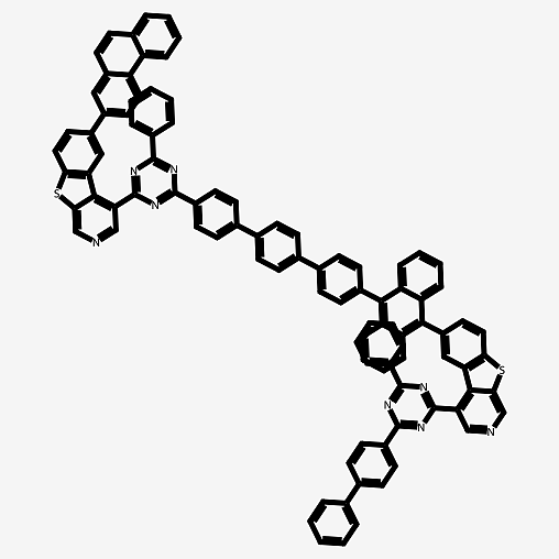 c1ccc(-c2ccc(-c3nc(-c4ccccc4)nc(-c4cncc5sc6ccc(-c7c8ccccc8c(-c8ccc(-c9ccc(-c%10ccc(-c%11nc(-c%12ccccc%12)nc(-c%12cncc%13sc%14ccc(-c%15ccc%16c(ccc%17ccccc%17%16)c%15)cc%14c%12%13)n%11)cc%10)cc9)cc8)c8ccccc78)cc6c45)n3)cc2)cc1